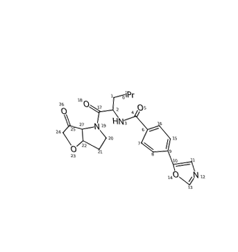 CC(C)CC(NC(=O)c1ccc(-c2cnco2)cc1)C(=O)N1CCC2OCC(=O)C21